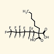 CCCCCCC(C(=O)O)(C(=O)O)C(F)(F)C(F)(F)C(F)(F)C(F)(F)C(F)(F)C(F)(F)F